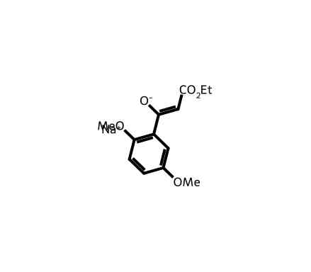 CCOC(=O)/C=C(\[O-])c1cc(OC)ccc1OC.[Na+]